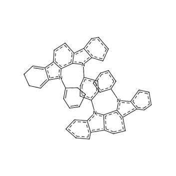 C1=CCCC(n2c3c(c4ccc5c6ccccc6n(-c6ccc(-n7c8ccccc8c8ccc9c%10ccccc%10n(-c%10ccccc%10)c9c87)cc6)c5c42)=CCCC=3)=C1